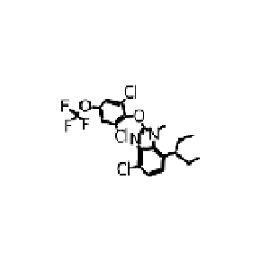 CCC(CC)c1ccc(Cl)c2nc(Oc3c(Cl)cc(OC(F)(F)F)cc3Cl)n(C)c12